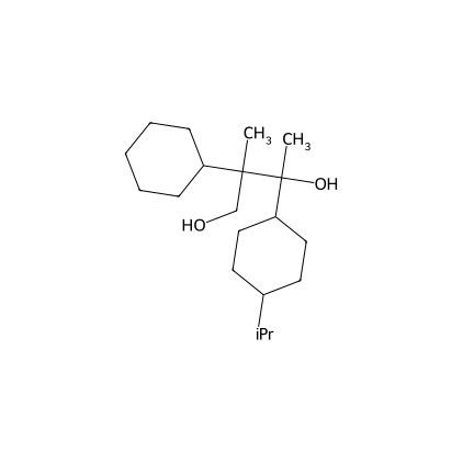 CC(C)C1CCC(C(C)(O)C(C)(CO)C2CCCCC2)CC1